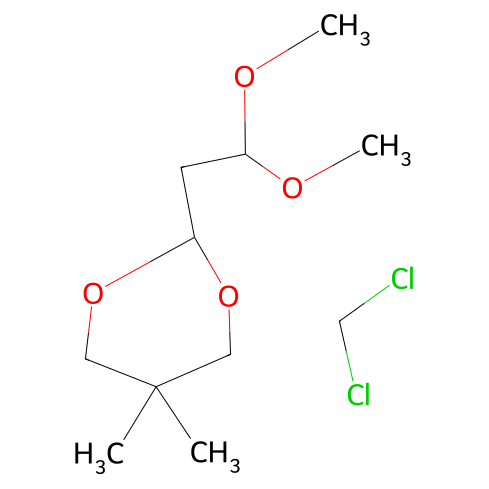 COC(CC1OCC(C)(C)CO1)OC.ClCCl